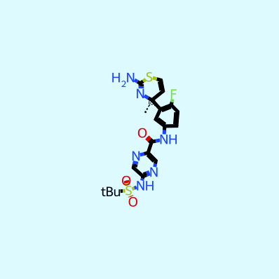 CC(C)(C)S(=O)(=O)Nc1cnc(C(=O)Nc2ccc(F)c([C@]3(C)C=CSC(N)=N3)c2)cn1